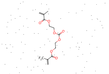 C=C(C)C(=O)OCCOC(=O)OCCOC(=O)C(=C)C(F)(F)F